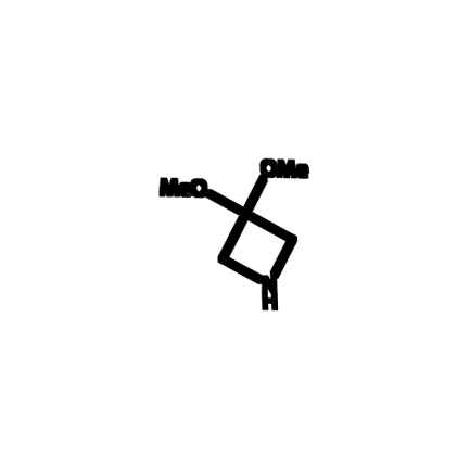 COC1(OC)CNC1